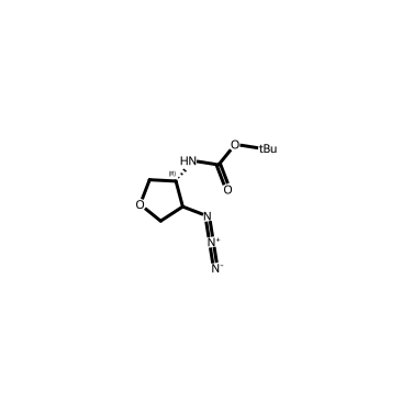 CC(C)(C)OC(=O)N[C@H]1COCC1N=[N+]=[N-]